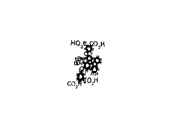 CC(C)(C)c1cc(C2(c3ccc(Oc4ccc(C(=O)O)c(C(=O)O)c4)c(C(C)(C)C)c3)c3ccccc3-c3ccccc32)ccc1Oc1ccc(C(=O)O)c(C(=O)O)c1